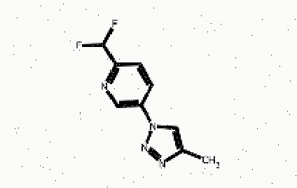 Cc1cn(-c2ccc(C(F)F)nc2)nn1